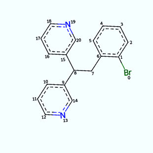 Brc1ccccc1CC(c1cccnc1)c1cccnc1